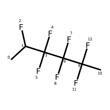 CC(F)C(F)(F)C(F)(F)C(C)(F)F